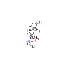 C[C@@H]1CCC2=CC[C@@H]3C(CC[C@@]4(C)C3CC[C@@H]4[C@](C)(O)Cn3cc(C#N)cn3)[C@@]2(C)CC1